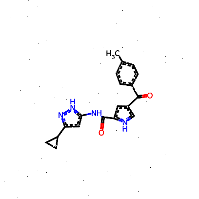 Cc1ccc(C(=O)c2c[nH]c(C(=O)Nc3cc(C4CC4)n[nH]3)c2)cc1